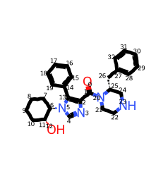 O=C(c1ncn([C@H]2CCCC[C@H]2O)c1-c1ccccc1)N1CCNC[C@H]1Cc1ccccc1